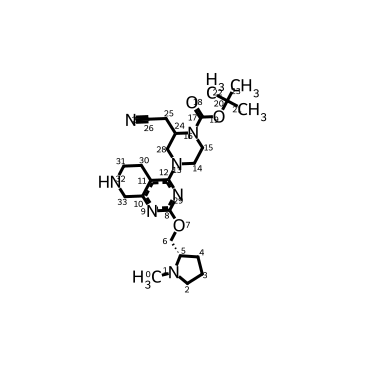 CN1CCC[C@H]1COc1nc2c(c(N3CCN(C(=O)OC(C)(C)C)C(CC#N)C3)n1)CCNC2